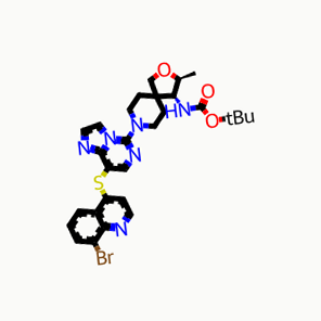 C[C@@H]1OCC2(CCN(c3ncc(Sc4ccnc5c(Br)cccc45)c4nccn34)CC2)[C@@H]1NC(=O)OC(C)(C)C